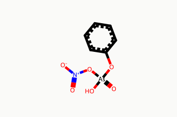 O=[N+]([O-])O[As](=O)(O)Oc1ccccc1